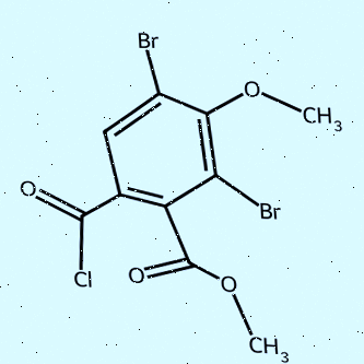 COC(=O)c1c(C(=O)Cl)cc(Br)c(OC)c1Br